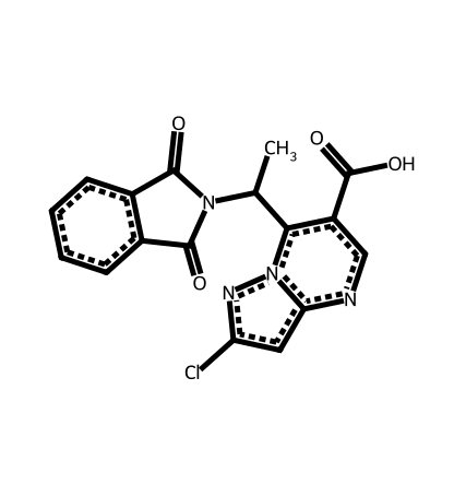 CC(c1c(C(=O)O)cnc2cc(Cl)nn12)N1C(=O)c2ccccc2C1=O